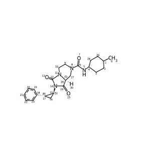 CC1CCC(NC(=O)N2CCN3C(=O)N([C@H]4C[C@@H]4c4ccccc4)C(=O)[C@@H]3C2)CC1